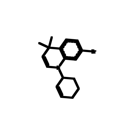 CC1(C)C=CN(C2C=CCCC2)c2cc(Br)ccc21